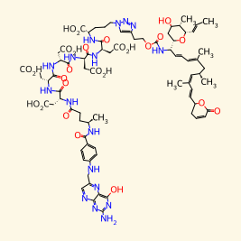 C/C=C/[C@@H]1O[C@H](C(/C=C/C=C(\C)C[C@@H](C)/C=C(C)\C=C\C2CC=CC(=O)O2)NC(=O)OCCc2cn(CCC[C@H](NC(=O)[C@@H](CC(=O)O)NC(=O)[C@@H](CC(=O)O)NC(=O)[C@@H](CC(=O)O)NC(=O)[C@@H](CC(=O)O)NC(=O)[C@@H](CC(=O)O)NC(=O)CC[C@@H](C)NC(=O)c3ccc(NCc4cnc5nc(N)nc(O)c5n4)cc3)C(=O)O)nn2)C[C@@H](O)[C@@H]1C